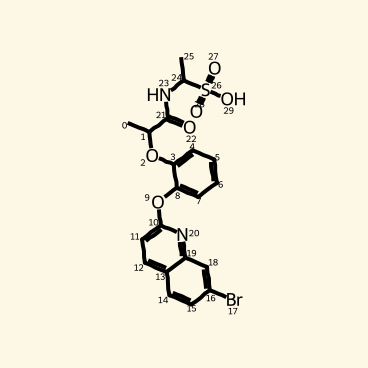 CC(Oc1ccccc1Oc1ccc2ccc(Br)cc2n1)C(=O)NC(C)S(=O)(=O)O